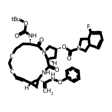 C=C(NOc1ccccc1)[C@]12C[C@@H]1/C=C\CCCCC[C@H](NC(=O)OC(C)(C)C)C(=O)N1C[C@H](OC(=O)N3CC4C=CC=C(F)C4C3)C[C@H]1C(=O)N2